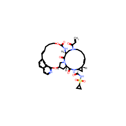 C=CC(=O)N1CCC/C=C\[C@@H]2C[C@@]2(C(=O)NS(=O)(=O)C2CC2)NC(=O)[C@@H]2C[C@@H]3CN2C(=O)[C@H](C1)NC(=O)OCCC/C=C/c1ccc2ccnc(c2c1)O3